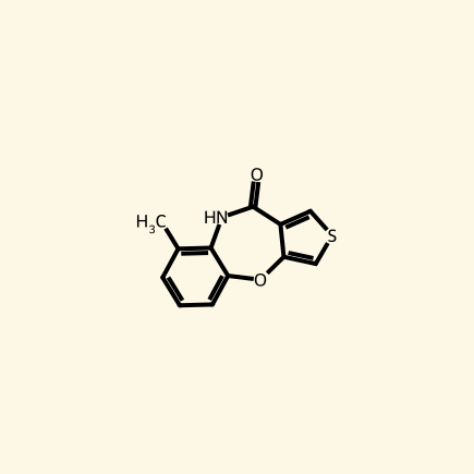 Cc1cccc2c1NC(=O)c1cscc1O2